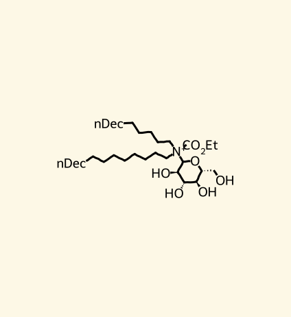 CCCCCCCCCCCCCCCCCC[N+](CCCCCCCCCCCCCCC)(C(=O)OCC)C1O[C@H](CO)[C@@H](O)[C@H](O)[C@H]1O